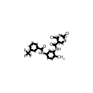 Cc1ccc(NC(=O)c2cccc(C(F)(F)F)c2)cc1NC(=O)c1cnc(Cl)nc1Cl